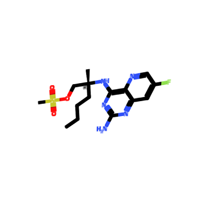 CCCC[C@](C)(COS(C)(=O)=O)Nc1nc(N)nc2cc(F)cnc12